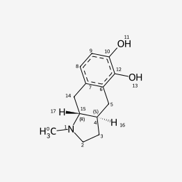 CN1CC[C@@H]2Cc3c(ccc(O)c3O)C[C@H]21